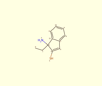 CCC1(N)C(S)=Cc2ccccc21